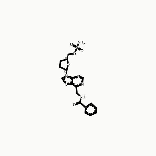 NS(=O)(=O)OC[C@@H]1CC[C@H](n2cnc3c(CNC(=O)c4ccccc4)ncnc32)O1